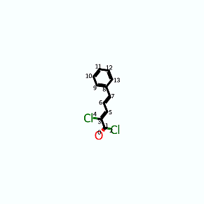 O=C(Cl)C(Cl)=CC=Cc1ccccc1